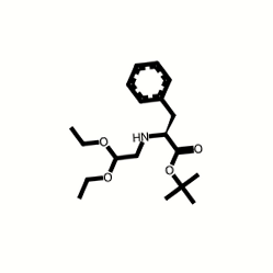 CCOC(CN[C@@H](Cc1ccccc1)C(=O)OC(C)(C)C)OCC